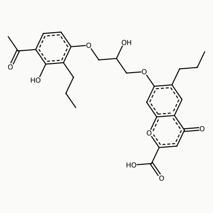 CCCc1cc2c(=O)cc(C(=O)O)oc2cc1OCC(O)COc1ccc(C(C)=O)c(O)c1CCC